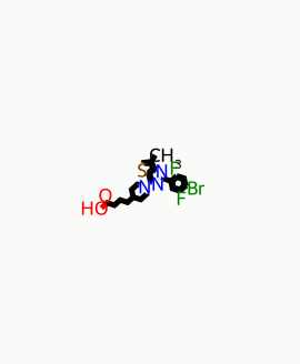 Cc1csc2c(N3CCC(CCCC(=O)O)CC3)nc(-c3cc(F)c(Br)cc3F)nc12